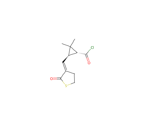 CC1(C)[C@H](C=C2CCSC2=O)[C@H]1C(=O)Cl